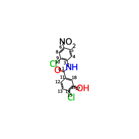 O=C(Nc1ccc([N+](=O)[O-])cc1Cl)c1ccc(Cl)c(O)c1